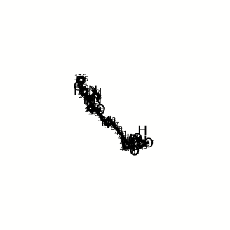 Nc1ncnc2c1c(-c1ccc(Oc3ccccc3)cc1)nn2[C@@H]1CCCN(C(=O)CCCN2CCN(CCCCCCNc3cccc4c3C(=O)N(C3CCC(=O)NC3=O)C4=O)CC2)C1